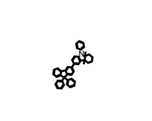 CC12CCCCC1(C)N(c1ccccc1)c1ccc(-c3ccc4c(c3)-c3ccccc3C4(c3ccccc3)c3ccccc3)cc12